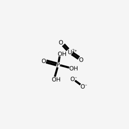 O=P(O)(O)O.[O-][O-].[O]=[U+2]=[O]